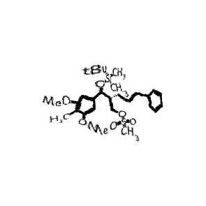 COc1cc(C(O[Si](C)(C)C(C)(C)C)[C@H](CCCc2ccccc2)COS(C)(=O)=O)cc(OC)c1C